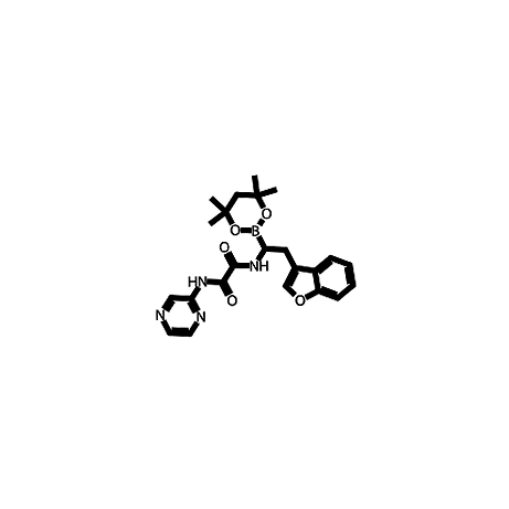 CC1(C)CC(C)(C)OB(C(Cc2coc3ccccc23)NC(=O)C(=O)Nc2cnccn2)O1